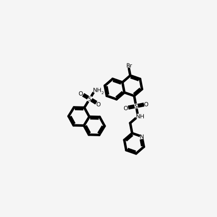 NS(=O)(=O)c1cccc2ccccc12.O=S(=O)(NCc1ccccn1)c1ccc(Br)c2ccccc12